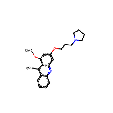 CNc1c2ccccc2nc2cc(OCCCN3CCCC3)cc(OC=O)c12